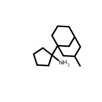 CC1CC2CCCC(C3(N)CCCC3)(C1)C2